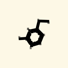 CCc1ccnc(C)n1